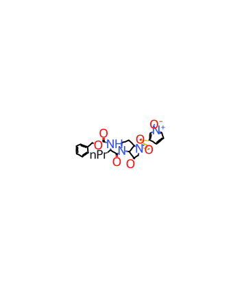 CCCC(NC(=O)OCc1ccccc1)C(=O)N1CCC2C1C(=O)CN2S(=O)(=O)c1ccc[n+]([O-])c1